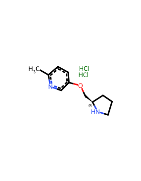 Cc1ccc(OC[C@H]2CCCN2)cn1.Cl.Cl